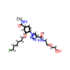 CCNC(=O)c1ccc(-n2cc(C(=O)NCCOCCO)nn2)c(OCCCCCCF)c1